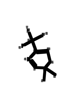 CC1(C)C=NC(C(F)(F)F)=CC1